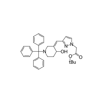 CC(C)(C)OC(=O)Cn1ccc(C=C2CN(C(c3ccccc3)(c3ccccc3)c3ccccc3)CCC2O)n1